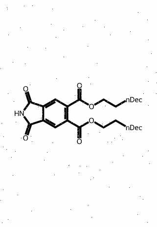 CCCCCCCCCCCCOC(=O)c1cc2c(cc1C(=O)OCCCCCCCCCCCC)C(=O)NC2=O